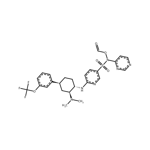 CN(C)[C@H]1C[C@@H](c2cccc(OC(F)(F)F)c2)CC[C@@H]1Nc1ccc(S(=O)(=O)N(OC=O)c2ccncn2)cn1